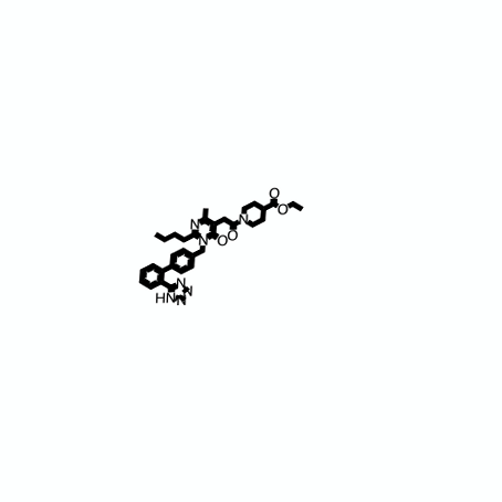 CCCCc1nc(C)c(CC(=O)N2CCC(C(=O)OCC)CC2)c(=O)n1Cc1ccc(-c2ccccc2-c2nnn[nH]2)cc1